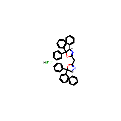 [Cl-].[Cl-].[Ni+2].c1ccc([C@H]2N=C(CC3=N[C@H](c4ccccc4)C(c4ccccc4)(c4ccccc4)O3)OC2(c2ccccc2)c2ccccc2)cc1